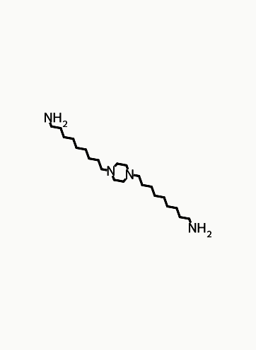 NCCCCCCCCCN1CCN(CCCCCCCCCN)CC1